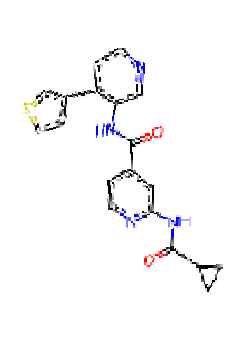 O=C(Nc1cnccc1-c1ccsc1)c1ccnc(NC(=O)C2CC2)c1